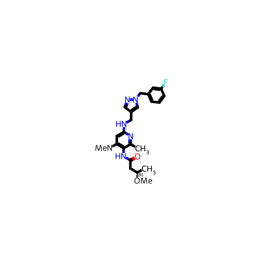 CNc1cc(NCc2cnn(Cc3cccc(F)c3)c2)nc(C)c1NC(=O)C[C@@H](C)OC